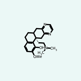 COc1ccc2c(c1O)[C@]1(CCN(C)C)Cc3nccnc3CC1CC2